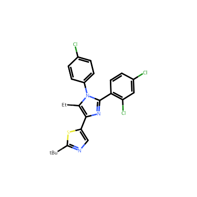 CCc1c(-c2cnc(C(C)(C)C)s2)nc(-c2ccc(Cl)cc2Cl)n1-c1ccc(Cl)cc1